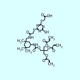 C=CC(=O)OCC(COC(=O)C=C)(COC(=O)C=C)COC(=O)NC1CC(C)(C)CC(C)(CNC(=O)CSc2nc(S)nc(SCC(=O)O)n2)C1